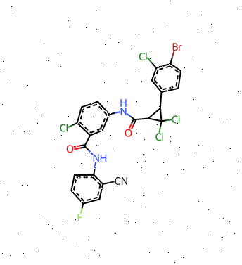 N#Cc1cc(F)ccc1NC(=O)c1cc(NC(=O)C2C(c3ccc(Br)c(Cl)c3)C2(Cl)Cl)ccc1Cl